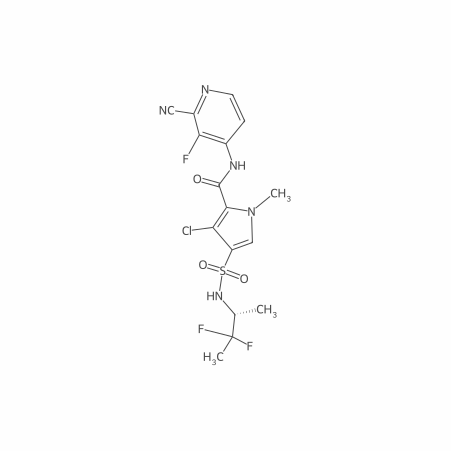 C[C@@H](NS(=O)(=O)c1cn(C)c(C(=O)Nc2ccnc(C#N)c2F)c1Cl)C(C)(F)F